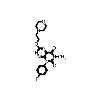 Cn1c(=O)c2nc(OCCN3CCOCC3)nnc2n(-c2ccc(F)cc2)c1=O